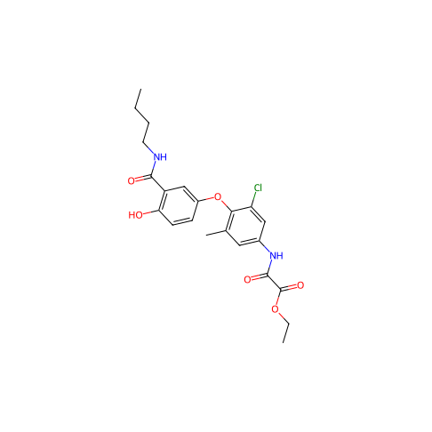 CCCCNC(=O)c1cc(Oc2c(C)cc(NC(=O)C(=O)OCC)cc2Cl)ccc1O